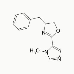 Cn1cncc1C1=NC(Cc2ccccc2)CO1